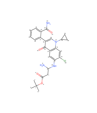 CC(C)(C)OC(=O)CC(N)Nc1cc2c(=O)c(-c3ccccc3C(N)=O)cn(C3CC3)c2cc1Cl